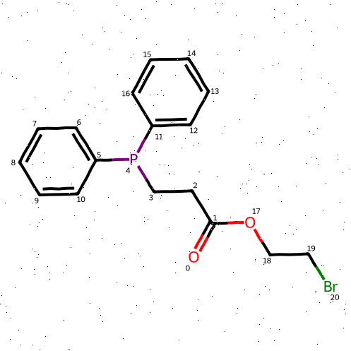 O=C(CCP(c1ccccc1)c1ccccc1)OCCBr